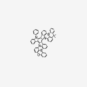 CC1(C)c2ccccc2B2c3c(cccc31)-n1c3c2cccc3c2c3c(c4ccccc4n3-c3ccccc3)c3c(c4cccc5c4n3-c3cccc4c3B5c3ccccc3O4)c21